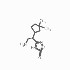 CC1(C)CCC([C@@H](CN)c2noc(=O)[nH]2)C1